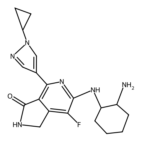 NC1CCCCC1Nc1nc(-c2cnn(C3CC3)c2)c2c(c1F)CNC2=O